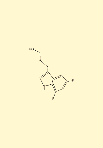 OC[CH]Cc1c[nH]c2c(F)cc(F)cc12